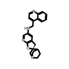 c1ccc2c(CNc3cnc4c(c3)C[C@@]3(CN5CCC3CC5)O4)ccnc2c1